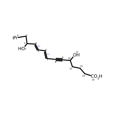 CC(C)CC(O)/C=C/C=C/C#CC(O)CCCC(=O)O